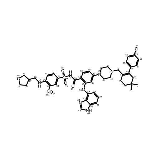 CC1(C)CCC(CN2CCN(c3ccc(C(=O)NS(=O)(=O)c4ccc(NCC5CCOC5)c([N+](=O)[O-])c4)c(Oc4cccc5[nH]cnc45)c3)CC2)=C(c2ccc(Cl)cc2)C1